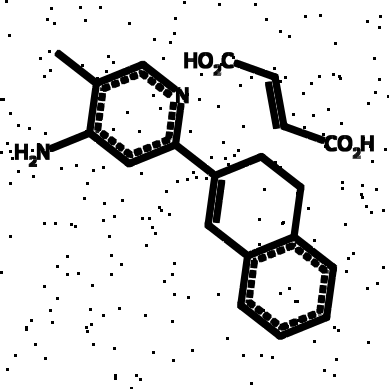 Cc1cnc(C2=Cc3ccccc3CC2)cc1N.O=C(O)/C=C/C(=O)O